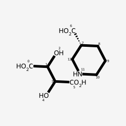 O=C(O)C(O)C(O)C(=O)O.O=C(O)[C@@H]1CCCNC1